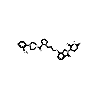 Cc1ccccc1N1CCN(C(=O)C2CCCN2CCCOc2cccc3c2CN(C2CCC(=O)NC2=O)C3=O)CC1